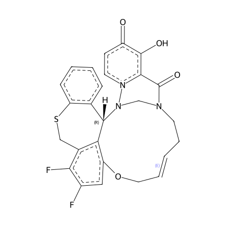 O=C1c2c(O)c(=O)ccn2N2CN1CC/C=C/COc1cc(F)c(F)c3c1[C@@H]2c1ccccc1SC3